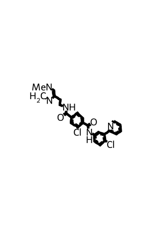 C=N/C(=C\NC)CCNC(=O)c1ccc(C(=O)Nc2ccc(Cl)c(-c3ccccn3)c2)c(Cl)c1